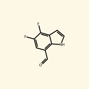 O=Cc1cc(F)c(F)c2cc[nH]c12